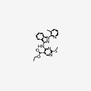 CCOC(=O)c1cnc(SC)nc1Nc1nn(-c2ncccc2C)c2ccccc12